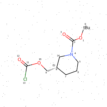 CC(C)(C)OC(=O)N1CCC[C@H](COC(=O)Cl)C1